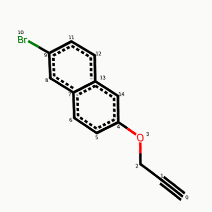 C#CCOc1ccc2cc(Br)ccc2c1